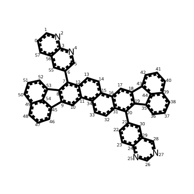 c1cnc2ncc(-c3c4c(cc5c3ccc3c6cc7c(c(-c8ccc9ncncc9c8)c6ccc53)-c3cccc5cccc-7c35)-c3cccc5cccc-4c35)cc2c1